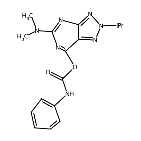 CC(C)n1nc2nc(N(C)C)nc(OC(=O)Nc3ccccc3)c2n1